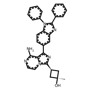 C[C@]1(O)C[C@@H](c2nc(-c3ccc4c(c3)nc(-c3ccccc3)n4-c3ccccc3)c3c(N)nccn32)C1